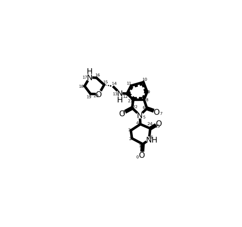 O=C1CCC(N2C(=O)c3cccc(NC[C@H]4CNCCO4)c3C2=O)C(=O)N1